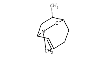 CC1CC2/C=C/CCC1CN2C